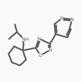 CC(C)NC1(c2nc(-c3ccnnc3)no2)CCCCC1